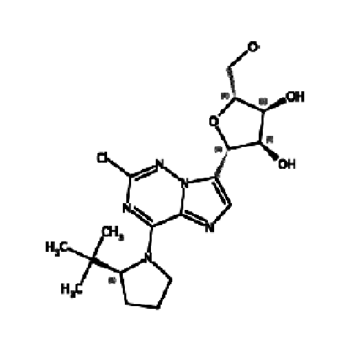 CC(C)(C)[C@@H]1CCCN1c1nc(Cl)nn2c([C@@H]3O[C@H](C[O])[C@@H](O)[C@H]3O)cnc12